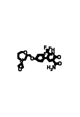 NC(=O)c1cc(-c2ccc(OCC3CN(C4COC4)CCCO3)cc2)c(C(F)(F)F)[nH]c1=O